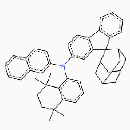 CC1(C)CCC(C)(C)c2c(N(c3ccc4c(c3)C3(c5ccccc5-4)C4CC5CC(C4)CC3C5)c3ccc4ccccc4c3)cccc21